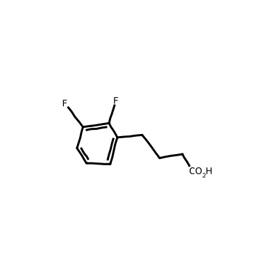 O=C(O)CCCc1cccc(F)c1F